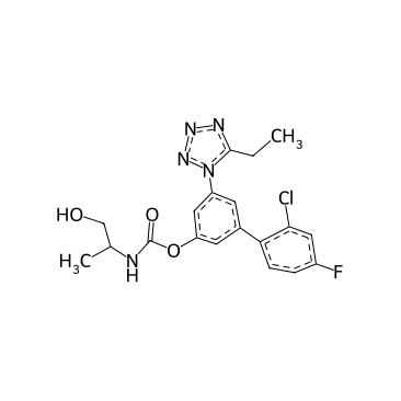 CCc1nnnn1-c1cc(OC(=O)NC(C)CO)cc(-c2ccc(F)cc2Cl)c1